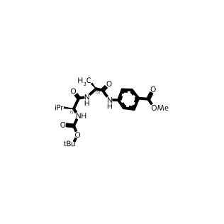 COC(=O)c1ccc(NC(=O)[C@H](C)NC(=O)[C@@H](NC(=O)OC(C)(C)C)C(C)C)cc1